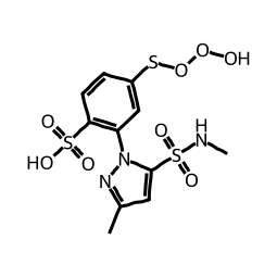 CNS(=O)(=O)c1cc(C)nn1-c1cc(SOOO)ccc1S(=O)(=O)O